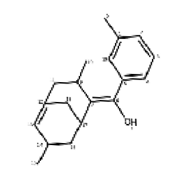 Cc1cccc(/C(O)=C2\C(C)CC3=CC(C)CC2C3)c1